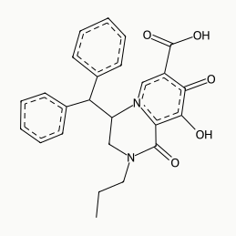 CCCN1CC(C(c2ccccc2)c2ccccc2)n2cc(C(=O)O)c(=O)c(O)c2C1=O